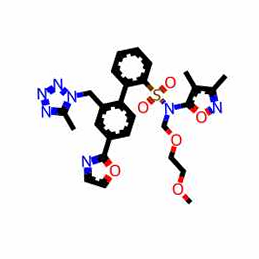 COCCOCN(c1onc(C)c1C)S(=O)(=O)c1ccccc1-c1ccc(-c2ncco2)cc1Cn1nnnc1C